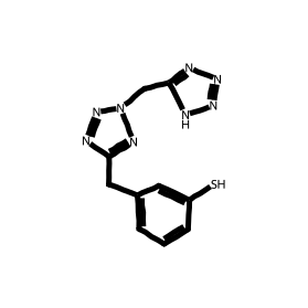 Sc1cccc(Cc2nnn(Cc3nnn[nH]3)n2)c1